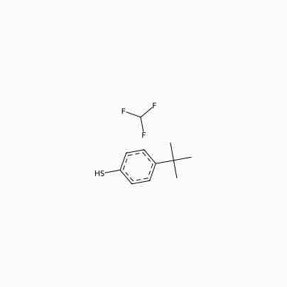 CC(C)(C)c1ccc(S)cc1.FC(F)F